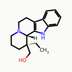 CC[C@]1(CO)CCCN2CCc3c([nH]c4ccccc34)[C@@H]21